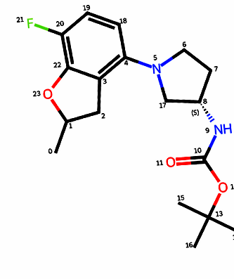 CC1Cc2c(N3CC[C@H](NC(=O)OC(C)(C)C)C3)ccc(F)c2O1